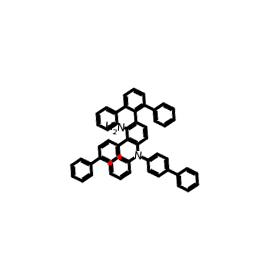 Nc1c(-c2c(-c3ccccc3)cccc2-c2ccccc2)ccc(N(c2ccccc2)c2ccc(-c3ccccc3)cc2)c1-c1ccc(-c2ccccc2)cc1